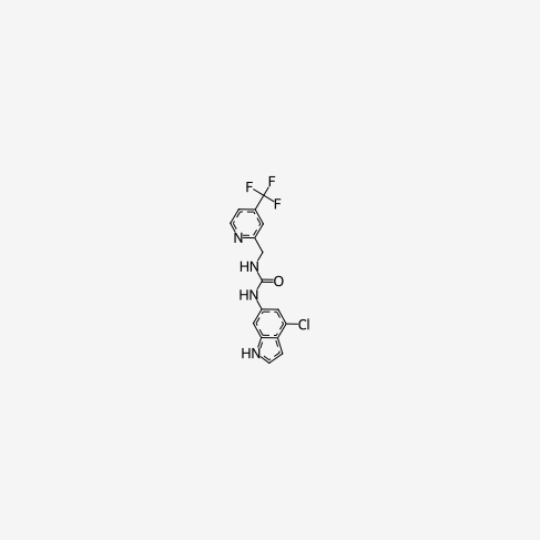 O=C(NCc1cc(C(F)(F)F)ccn1)Nc1cc(Cl)c2cc[nH]c2c1